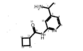 CC(N)c1ccnc(NC(=O)C2CCC2)c1